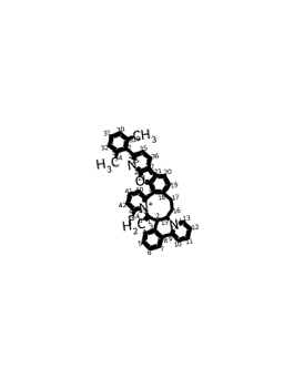 C=C1C2c3ccccc3-c3cccc[n+]3C2CCc2ccc3c(oc4nc(-c5c(C)cccc5C)ccc43)c2-c2cccc(F)[n+]21